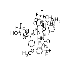 COc1ccc(C([C@@H]2C[C@@H](C(=O)N[C@H](C(=O)C(F)(F)F)C(C)C)N(C(=O)[C@H](Cc3ccc(CN)cc3)NC(=O)C(F)(F)c3ccccc3C(F)(F)F)C2)[SH](=O)=O)cc1.O=C(O)C(F)(F)F